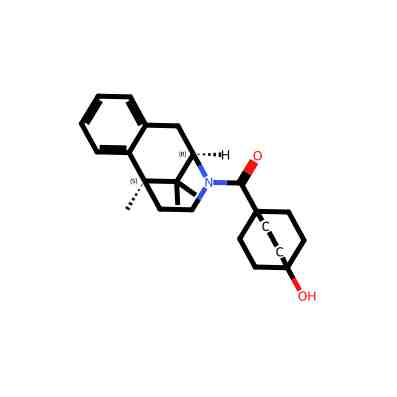 CC1(C)[C@H]2Cc3ccccc3[C@]1(C)CCN2C(=O)C12CCC(O)(CC1)CC2